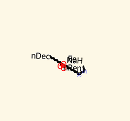 CCCCC/C=C\C/C=C\CCCCCCCC(=O)OC(=O)CCCCCCCCCCCCCCCCC.[Fe].[NaH]